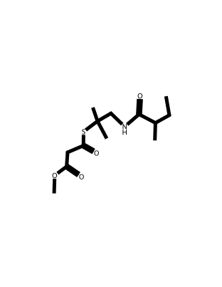 CCC(C)C(=O)NCC(C)(C)SC(=O)CC(=O)OC